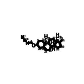 C[C@]12CC[C@H](OCN=[N+]=[N-])CC1=CC[C@@H]1C2CC[C@]2(C)C(I)=CC[C@@H]12